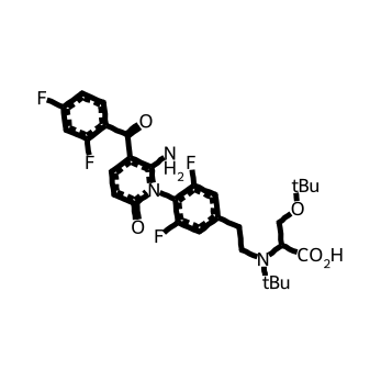 CC(C)(C)OCC(C(=O)O)N(CCc1cc(F)c(-n2c(N)c(C(=O)c3ccc(F)cc3F)ccc2=O)c(F)c1)C(C)(C)C